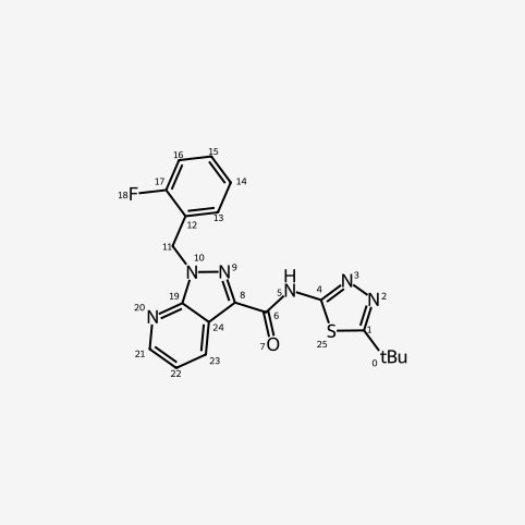 CC(C)(C)c1nnc(NC(=O)c2nn(Cc3ccccc3F)c3ncccc23)s1